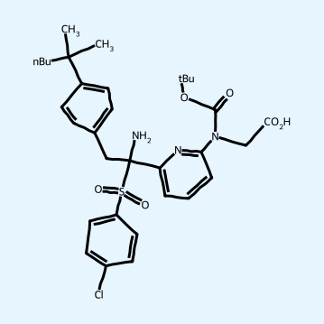 CCCCC(C)(C)c1ccc(CC(N)(c2cccc(N(CC(=O)O)C(=O)OC(C)(C)C)n2)S(=O)(=O)c2ccc(Cl)cc2)cc1